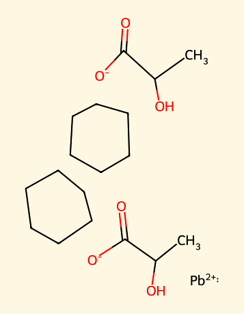 C1CCCCC1.C1CCCCC1.CC(O)C(=O)[O-].CC(O)C(=O)[O-].[Pb+2]